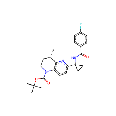 C[C@H]1CCN(C(=O)OC(C)(C)C)c2ccc(C3(NC(=O)c4ccc(F)cc4)CC3)nc21